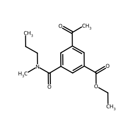 CCCN(C)C(=O)c1cc(C(C)=O)cc(C(=O)OCC)c1